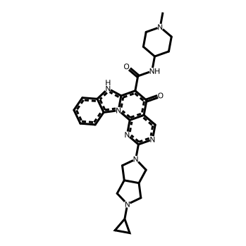 CN1CCC(NC(=O)c2c(=O)c3cnc(N4CC5CN(C6CC6)CC5C4)nc3n3c2[nH]c2ccccc23)CC1